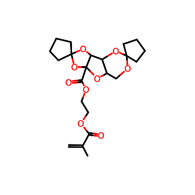 C=C(C)C(=O)OCCOC(=O)C12OC3COC4(CCCC4)OC3C1OC1(CCCC1)O2